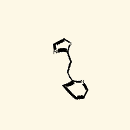 [CH](Cc1ccccn1)c1nccs1